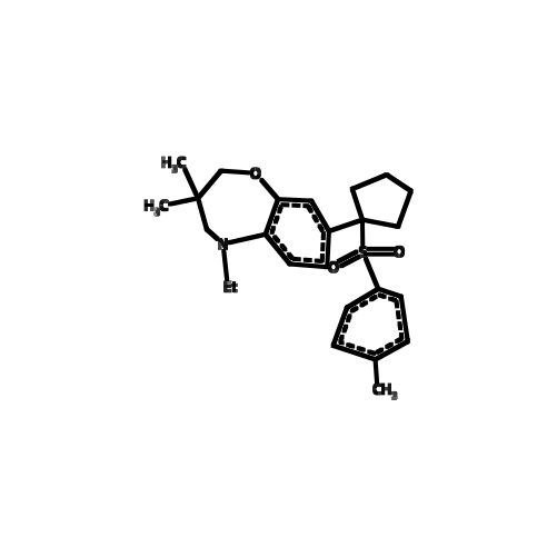 CCN1CC(C)(C)COc2cc(C3(S(=O)(=O)c4ccc(C)cc4)CCCC3)ccc21